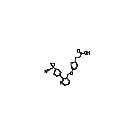 N#CC1(c2ccc(-c3ncccc3COc3ccc(CCC(=O)O)cc3)cc2)CC1